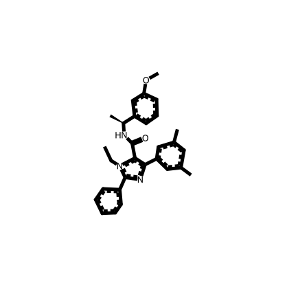 CCn1c(-c2ccccc2)nc(-c2cc(C)cc(C)c2)c1C(=O)N[C@@H](C)c1cccc(OC)c1